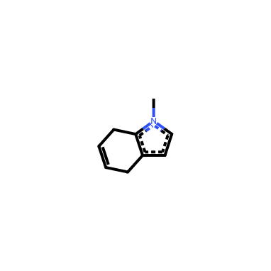 Cn1ccc2c1CC=CC2